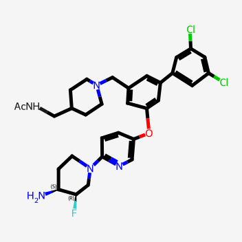 CC(=O)NCC1CCN(Cc2cc(Oc3ccc(N4CC[C@H](N)[C@H](F)C4)nc3)cc(-c3cc(Cl)cc(Cl)c3)c2)CC1